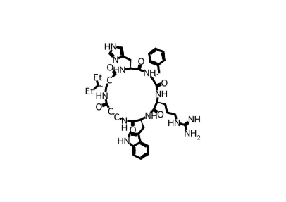 CCC(CC)[C@@H]1CC(=O)N[C@@H](Cc2c[nH]cn2)C(=O)N[C@H](Cc2ccccc2)C(=O)N[C@@H](CCCNC(=N)N)C(=O)N[C@@H](Cc2c[nH]c3ccccc23)C(=O)NCCC(=O)N1